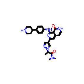 CC(C(=O)N(C)C)n1cc(-c2cc3cc[nH]c(=O)c3c(Nc3ccc(C4CCNCC4)cc3)n2)cn1